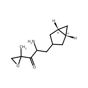 CC1(C(=O)C(N)CC2C[C@@H]3C[C@@H]3C2)CO1